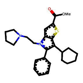 COC(=O)c1cc2c(s1)c(C1CCCCC1)c(-c1ccccc1)n2CCN1CCCC1